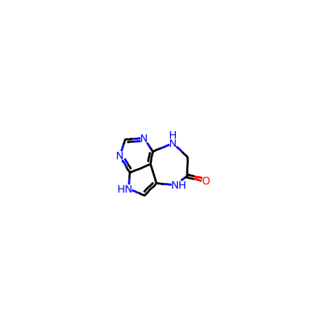 O=C1CNc2ncnc3[nH]cc(c23)N1